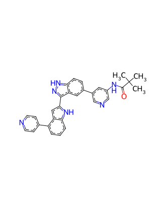 CC(C)(C)C(=O)Nc1cncc(-c2ccc3[nH]nc(-c4cc5c(-c6ccncc6)cccc5[nH]4)c3c2)c1